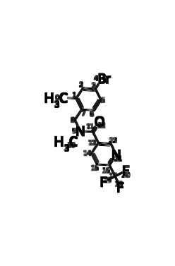 Cc1cc(Br)ccc1CN(C)C(=O)c1ccc(C(F)(F)F)nc1